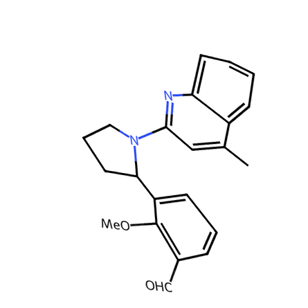 COc1c(C=O)cccc1C1CCCN1c1cc(C)c2ccccc2n1